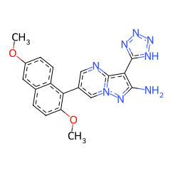 COc1ccc2c(-c3cnc4c(-c5nnn[nH]5)c(N)nn4c3)c(OC)ccc2c1